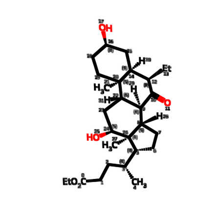 CCOC(=O)CC[C@@H](C)[C@H]1CC[C@H]2[C@@H]3C(=O)[C@H](CC)[C@@H]4C[C@H](O)CC[C@]4(C)[C@H]3C[C@H](O)[C@]12C